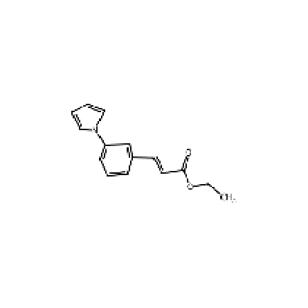 CCOC(=O)/C=C/c1cccc(-n2cccc2)c1